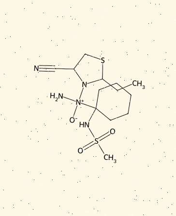 CCC1SCC(C#N)N1[N+](N)([O-])C1(NS(C)(=O)=O)CCCCC1